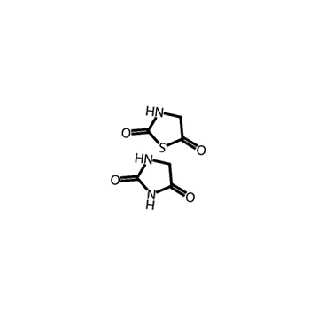 O=C1CNC(=O)N1.O=C1CNC(=O)S1